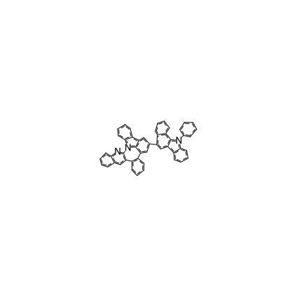 c1ccc(-n2c3ccccc3c3cc(-c4cc5c6c(c4)c4ccccc4n6-c4nc6ccccc6cc4-c4ccccc4-5)c4ccccc4c32)cc1